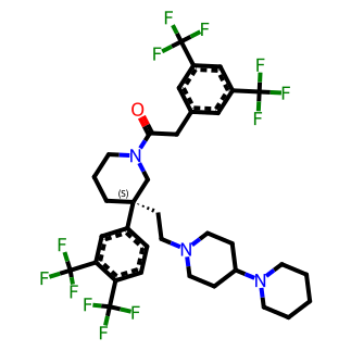 O=C(Cc1cc(C(F)(F)F)cc(C(F)(F)F)c1)N1CCC[C@](CCN2CCC(N3CCCCC3)CC2)(c2ccc(C(F)(F)F)c(C(F)(F)F)c2)C1